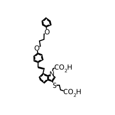 O=C(O)CCSc1cn(CC(=O)O)c2c(/C=C/c3ccc(OCCCCOc4ccccc4)cc3)cccc12